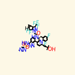 Cn1cnc(S(=O)(=O)Nc2nn(C)c3c(-c4ccc(C#CC(C)(C)O)nc4[C@H](Cc4cc(F)cc(F)c4)NC(=O)Cn4nc(C(F)(F)F)c5c4C(F)(F)[C@@H]4CC54)cccc23)c1